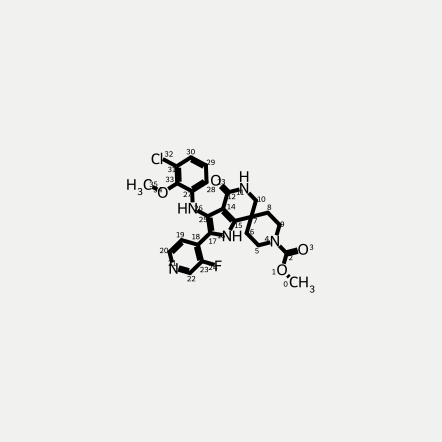 COC(=O)N1CCC2(CC1)CNC(=O)c1c2[nH]c(-c2ccncc2F)c1Nc1cccc(Cl)c1OC